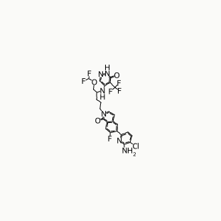 Nc1nc(-c2cc3ccn(CCCC(COC(F)F)Nc4cn[nH]c(=O)c4C(F)(F)F)c(=O)c3cc2F)ccc1Cl